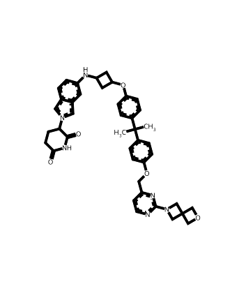 CC(C)(c1ccc(OCc2ccnc(N3CC4(COC4)C3)n2)cc1)c1ccc(OC2CC(Nc3ccc4cn(C5CCC(=O)NC5=O)cc4c3)C2)cc1